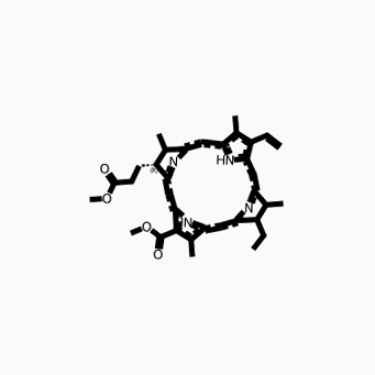 C=Cc1c(C)c2cc3nc(cc4[nH]c(cc5nc(cc1[nH]2)C(C)C5CC)c(C)c4C(=O)OC)[C@H](CCC(=O)OC)C3C